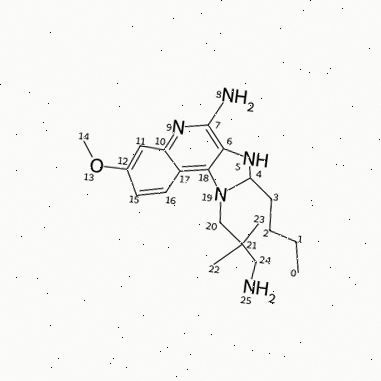 CCCCC1Nc2c(N)nc3cc(OC)ccc3c2N1CC(C)(C)CN